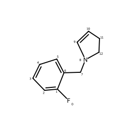 Fc1ccccc1CN1C=CCC1